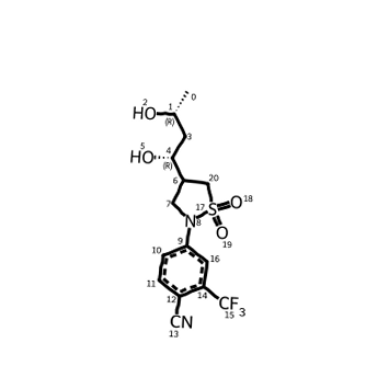 C[C@@H](O)C[C@@H](O)C1CN(c2ccc(C#N)c(C(F)(F)F)c2)S(=O)(=O)C1